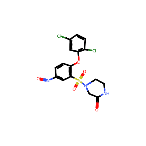 O=Nc1ccc(Oc2cc(Cl)ccc2Cl)c(S(=O)(=O)N2CCNC(=O)C2)c1